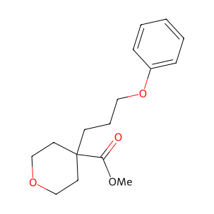 COC(=O)C1(CCCOc2ccccc2)CCOCC1